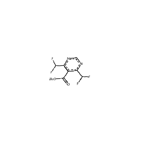 CC(C)COC(=O)c1c(C(F)F)ncnc1C(F)F